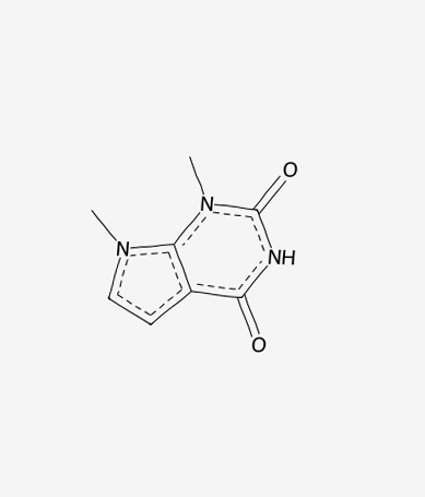 Cn1ccc2c(=O)[nH]c(=O)n(C)c21